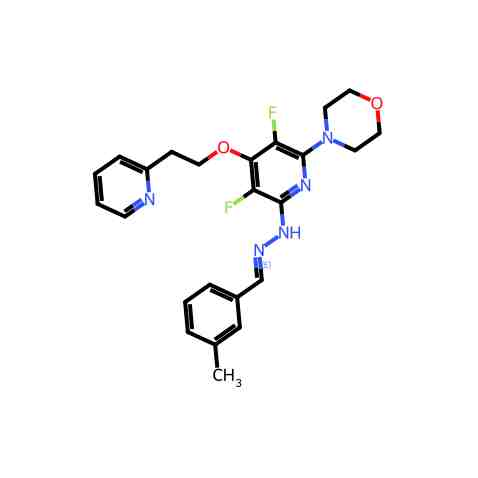 Cc1cccc(/C=N/Nc2nc(N3CCOCC3)c(F)c(OCCc3ccccn3)c2F)c1